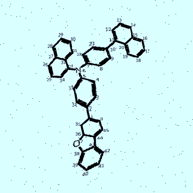 C1=C(c2ccc(N(c3ccc(-c4cccc5ccccc45)cc3)c3cccc4ccccc34)cc2)CC2Oc3ccccc3C2=C1